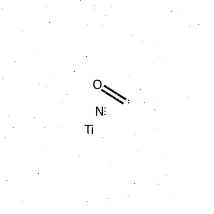 [C]=O.[N].[Ti]